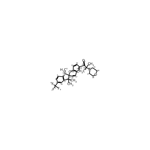 CN1c2ccc(C(F)(F)F)cc2C(C)(C)C12C=Cc1cc(C(=O)C(C)(C)N3CCOCC3)ccc1O2